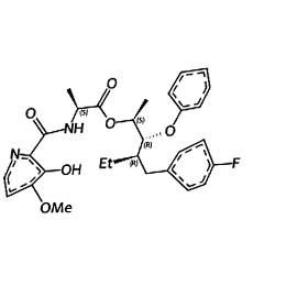 CC[C@H](Cc1ccc(F)cc1)[C@@H](Oc1ccccc1)[C@H](C)OC(=O)[C@H](C)NC(=O)c1nccc(OC)c1O